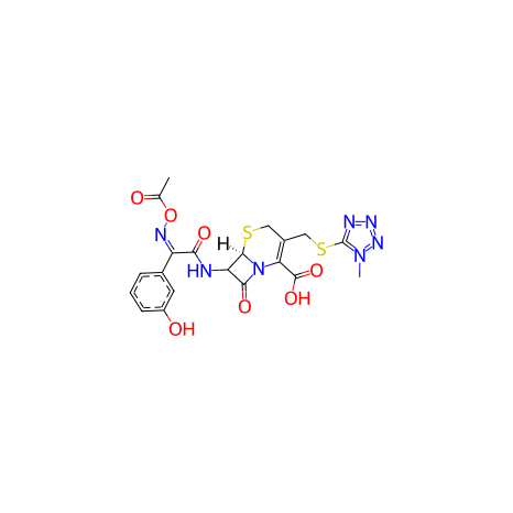 CC(=O)O/N=C(\C(=O)NC1C(=O)N2C(C(=O)O)=C(CSc3nnnn3C)CS[C@H]12)c1cccc(O)c1